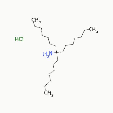 CCCCCCCC(N)(CCCCCCC)CCCCCCC.Cl